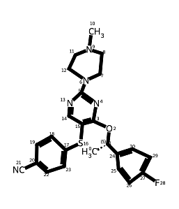 C[C@H](Oc1nc(N2CCN(C)CC2)ncc1Sc1ccc(C#N)cc1)c1ccc(F)cc1